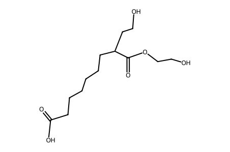 O=C(O)CCCCCCC(CCO)C(=O)OCCO